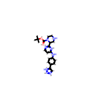 CC(C)(C)OC(=O)N1CCNCC1c1nccc(Nc2ccc(-c3cnn[nH]3)cc2)n1